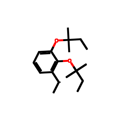 C[CH]c1cccc(OC(C)(C)CC)c1OC(C)(C)CC